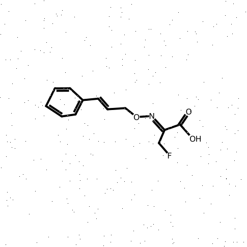 O=C(O)C(CF)=NOCC=Cc1ccccc1